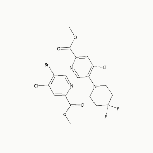 COC(=O)c1cc(Cl)c(Br)cn1.COC(=O)c1cc(Cl)c(N2CCC(F)(F)CC2)cn1